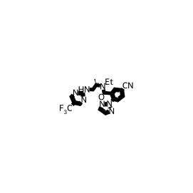 CCN(C(=O)c1cc(C#N)ccc1-n1nccn1)[C@@H](C)CNc1ncc(C(F)(F)F)cn1